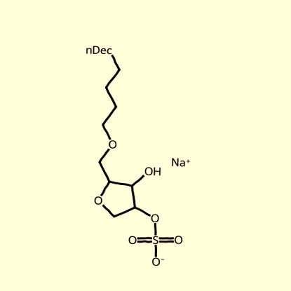 CCCCCCCCCCCCCCOCC1OCC(OS(=O)(=O)[O-])C1O.[Na+]